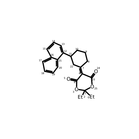 CCC1(CC)OC(=O)C(=C2CCCC(c3cccc4ccccc34)C2)C(=O)O1